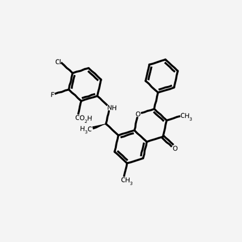 Cc1cc([C@@H](C)Nc2ccc(Cl)c(F)c2C(=O)O)c2oc(-c3ccccc3)c(C)c(=O)c2c1